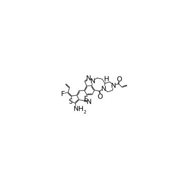 C=CC(=O)N1CCN2C(=O)c3cc(F)c(/C=c4\c(C#N)c(N)s\c4=C(/F)C=C)c4cnn(c34)CC[C@H]2C1